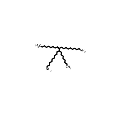 CCCCCCCC/C=C(/CCCCCCCCCN)C(CCCCCCCC)CCCCCCCCCN